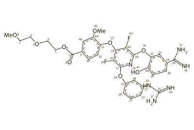 COCCOCCOC(=O)c1ccc(Oc2c(F)c(Oc3cccc(NC(=N)N)c3)nc(Oc3cc(C(=N)N)ccc3O)c2F)c(OC)c1